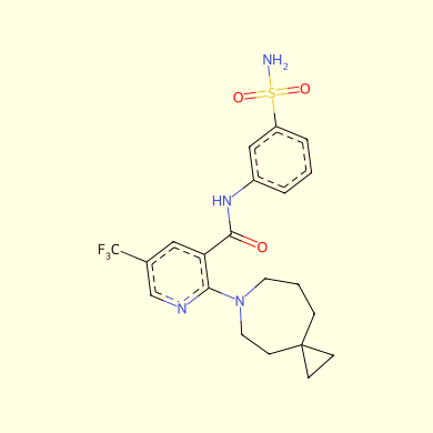 NS(=O)(=O)c1cccc(NC(=O)c2cc(C(F)(F)F)cnc2N2CCCC3(CC2)CC3)c1